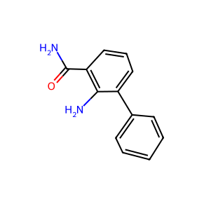 NC(=O)c1cccc(-c2ccccc2)c1N